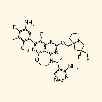 Cc1c(F)c(N)cc(-c2nc3c4c(nc(OC[C@@]56CCCN5C[C@](F)(CF)C6)nc4c2F)N([C@H](C)c2cncnc2N)CCO3)c1C(F)(F)F